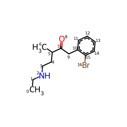 CCNCCC(C)C(=O)Cc1ccccc1Br